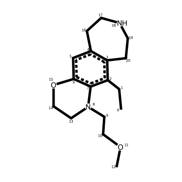 CCc1c2c(cc3c1N(CCOC)CCO3)CCNCC2